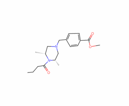 CCCC(=O)N1[C@H](C)CN(Cc2ccc(C(=O)OC)cc2)C[C@@H]1C